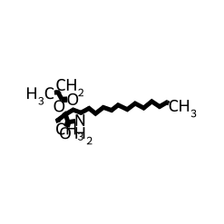 C=C(C)C(=O)OC(CC)(CCCCCCCCCCCCCC)C(N)=O